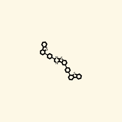 c1ccc2c(c1)sc1c(-c3ccc(-c4ccc5sc6nc(-c7ccc(-c8cccc9c8sc8ccccc89)cc7)cnc6c5c4)cc3)cccc12